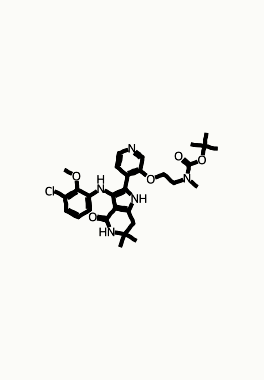 COc1c(Cl)cccc1Nc1c(-c2ccncc2OCCN(C)C(=O)OC(C)(C)C)[nH]c2c1C(=O)NC(C)(C)C2